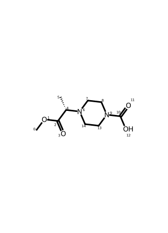 COC(=O)[C@H](C)N1CCN(C(=O)O)CC1